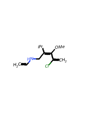 C=CNC/C(=C(/OC)C(=C)Cl)C(C)C